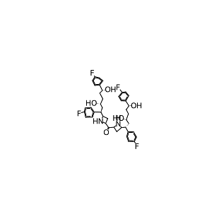 O=C(C1CC([C@H](C[C@H](O)CC[C@@H](O)c2ccc(F)cc2)c2ccc(F)cc2)N1)C1CC([C@H](C[C@H](O)CC[C@@H](O)c2ccc(F)cc2)c2ccc(F)cc2)N1